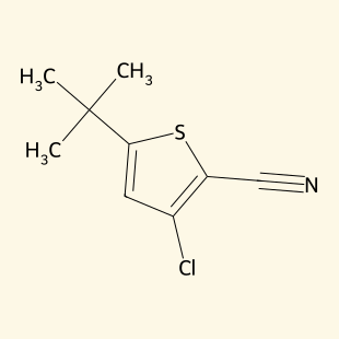 CC(C)(C)c1cc(Cl)c(C#N)s1